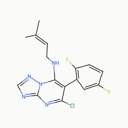 CC(C)=CCNc1c(-c2cc(F)ccc2F)c(Cl)nc2ncnn12